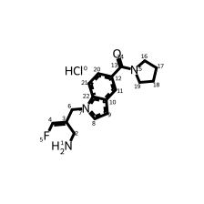 Cl.NC/C(=C\F)Cn1ccc2cc(C(=O)N3CCCC3)ccc21